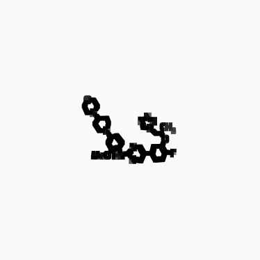 COc1cc(N2CCC(N3CCOCC3)CC2)ccc1Nc1ncc(-c2ccc(F)c(O[C@@H](C)Cn3cnnn3)c2)cn1